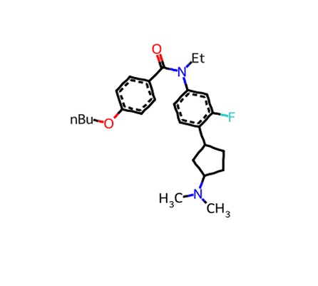 CCCCOc1ccc(C(=O)N(CC)c2ccc(C3CCC(N(C)C)C3)c(F)c2)cc1